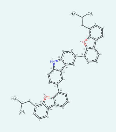 CC(C)Cc1cccc2c1oc1c(-c3ccc4[nH]c5ccc(-c6cccc7c6oc6c(CC(C)C)cccc67)cc5c4c3)cccc12